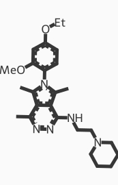 CCOc1ccc(-n2c(C)c3c(C)nnc(NCCN4CCCCC4)c3c2C)c(OC)c1